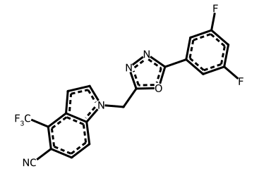 N#Cc1ccc2c(ccn2Cc2nnc(-c3cc(F)cc(F)c3)o2)c1C(F)(F)F